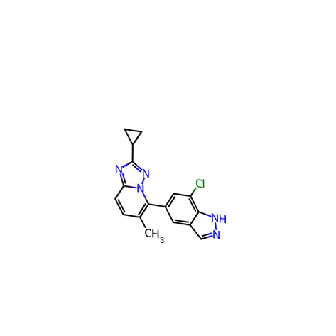 Cc1ccc2nc(C3CC3)nn2c1-c1cc(Cl)c2[nH]ncc2c1